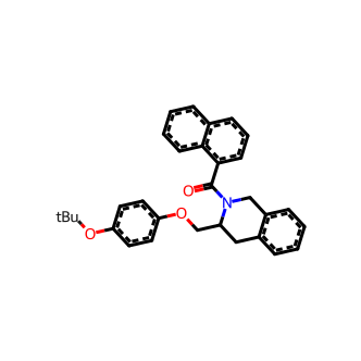 CC(C)(C)Oc1ccc(OCC2Cc3ccccc3CN2C(=O)c2cccc3ccccc23)cc1